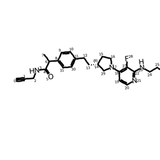 C#CCNC(=O)C(C)c1ccc(CC[C@@H]2CCN(c3ccnc(NCCC)c3F)C2)cc1